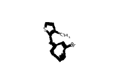 Cc1ccsc1Cc1cccc(Br)c1